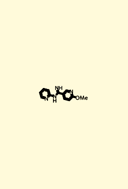 COc1ccc(C(=N)Nc2ccccn2)cn1